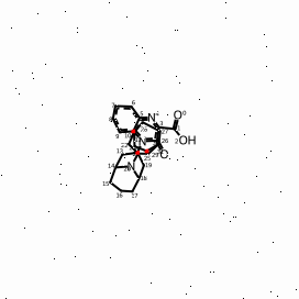 O=C(O)c1nc2ccccc2n(C2CC3CCCC(C2)N3C2CC3CCC(CC3)C2)c1=O